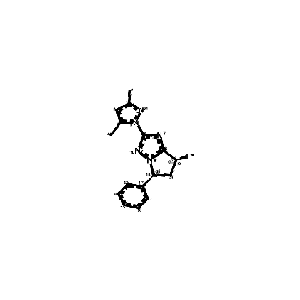 Cc1cc(C)n(-c2nc3n(n2)[C@H](c2ccccc2)C[C@@H]3F)n1